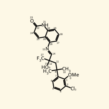 COc1c(Cl)cccc1C(C)(C)CC(O)(/C=N/c1cccc2[nH]c(=O)ccc12)C(F)(F)F